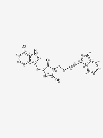 O=C1C(Cc2c[nH]c3c(Cl)cccc23)NC(O)N1CCC#Cc1cnc2cccnn12